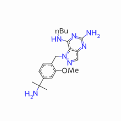 CCCCNc1nc(N)nc2cnn(Cc3ccc(C(C)(C)N)cc3OC)c12